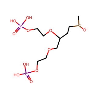 C[S+]([O-])CCC(COCCOP(=O)(O)O)OCCOP(=O)(O)O